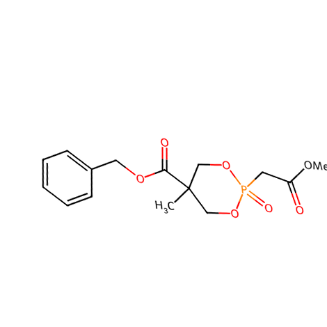 COC(=O)CP1(=O)OCC(C)(C(=O)OCc2ccccc2)CO1